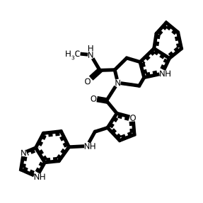 CNC(=O)C1Cc2c([nH]c3ccccc23)CN1C(=O)c1occc1CNc1ccc2nc[nH]c2c1